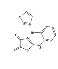 C=C1SC(Nc2ccccc2Br)=NC1=O.c1conn1